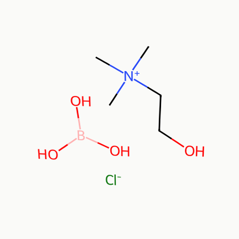 C[N+](C)(C)CCO.OB(O)O.[Cl-]